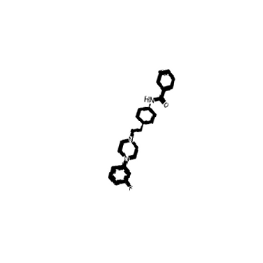 O=C(N[C@H]1CC[C@H](CCN2CCN(c3cccc(F)c3)CC2)CC1)C1=CCCCC1